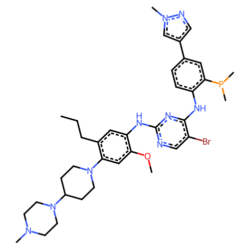 CCCc1cc(Nc2ncc(Br)c(Nc3ccc(-c4cnn(C)c4)cc3P(C)C)n2)c(OC)cc1N1CCC(N2CCN(C)CC2)CC1